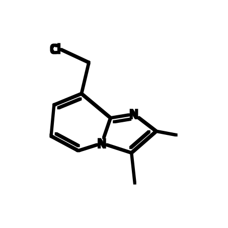 Cc1nc2c(CCl)cccn2c1C